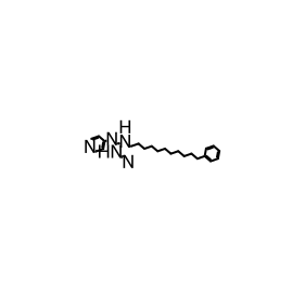 N#CNC(=Nc1ccncc1)NCCCCCCCCCCCc1ccccc1